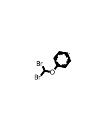 BrC(Br)Oc1cc[c]cc1